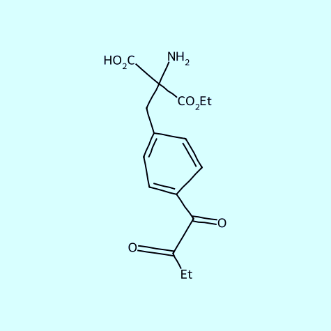 CCOC(=O)C(N)(Cc1ccc(C(=O)C(=O)CC)cc1)C(=O)O